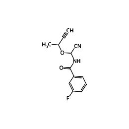 C#CC(C)OC(C#N)NC(=O)c1cccc(F)c1